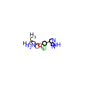 CC(C)CC(C)(N)COc1ccc(-c2ccnc3[nH]ncc23)cc1Cl